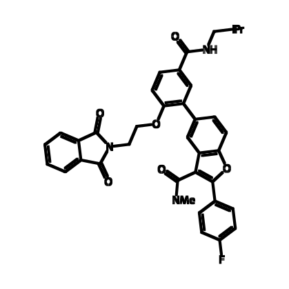 CNC(=O)c1c(-c2ccc(F)cc2)oc2ccc(-c3cc(C(=O)NCC(C)C)ccc3OCCN3C(=O)c4ccccc4C3=O)cc12